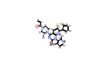 C=CC(=O)N1CCN(c2nc(=O)n(-c3c(C(C)C)ccnc3C)c3nc(-c4ccccc4F)c(F)cc23)[C@@H](C)C1